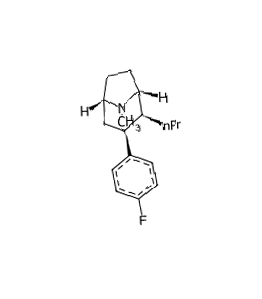 CCC[C@H]1[C@@H](c2ccc(F)cc2)C[C@@H]2CC[C@H]1N2C